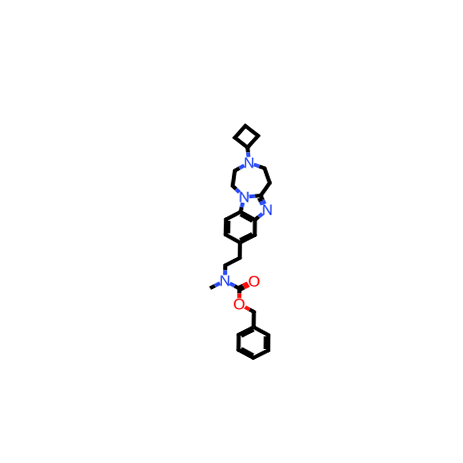 CN(CCc1ccc2c(c1)nc1n2CCN(C2CCC2)CC1)C(=O)OCc1ccccc1